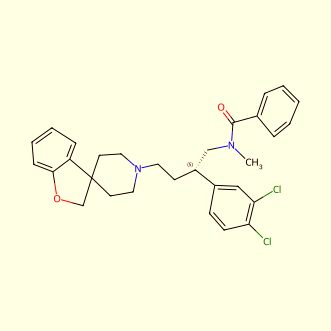 CN(C[C@@H](CCN1CCC2(CC1)COc1ccccc12)c1ccc(Cl)c(Cl)c1)C(=O)c1ccccc1